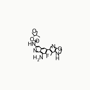 Cc1c(-c2cc3cc(NC(=O)O[C@@H]4COC[C@H]4C)ncc3c(N)c2F)cnc2c1NCCO2